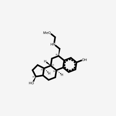 COCNC[C@@H]1C[C@@H]2[C@H](CCC3[C@H]2CC[C@@H]3O)c2ccc(O)cc21